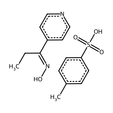 CCC(=NO)c1ccncc1.Cc1ccc(S(=O)(=O)O)cc1